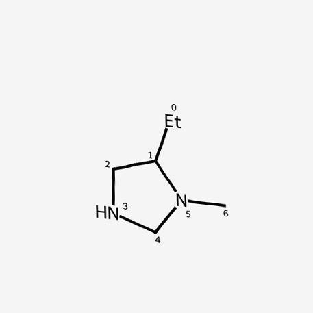 CCC1CNCN1C